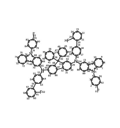 Fc1ccc(-n2c3ccccc3c3cc(N(c4ccc(-c5ccccc5F)cc4)c4ccc5c(c4)C(c4ccccc4)(c4ccccc4)c4cc(N(c6ccc(-c7ccccc7F)cc6)c6ccc7c(c6)c6ccccc6n7-c6ccc(F)cc6)ccc4-5)ccc32)cc1